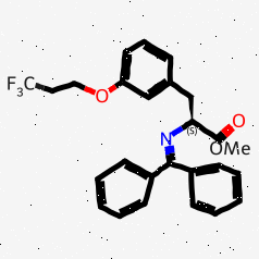 COC(=O)[C@H](Cc1cccc(OCCC(F)(F)F)c1)N=C(c1ccccc1)c1ccccc1